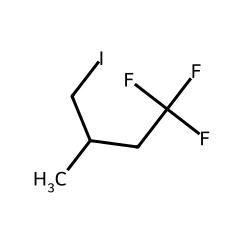 CC(CI)CC(F)(F)F